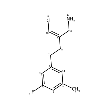 Cc1cc(F)cc(CCC(=CCl)CN)c1